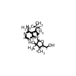 C[C@@H]1C(CO)OC(n2cc(S(C)(C)C)c3c(N)ncnc32)C1(C)O